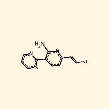 CC/C=C/c1ccc(-c2ncccn2)c(N)n1